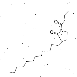 CCCCCCCCCCCCC1CCN(C(=O)CCC)C1=O